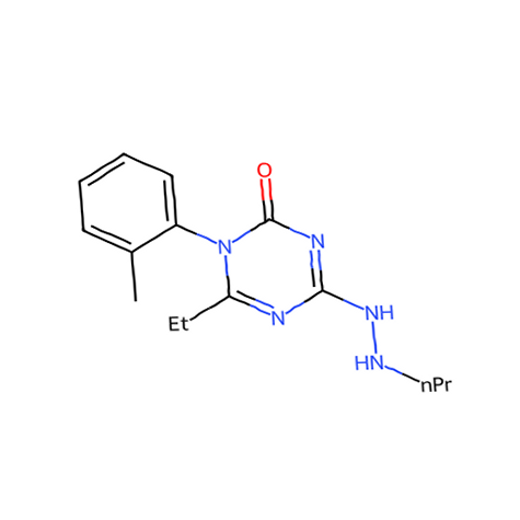 CCCNNc1nc(CC)n(-c2ccccc2C)c(=O)n1